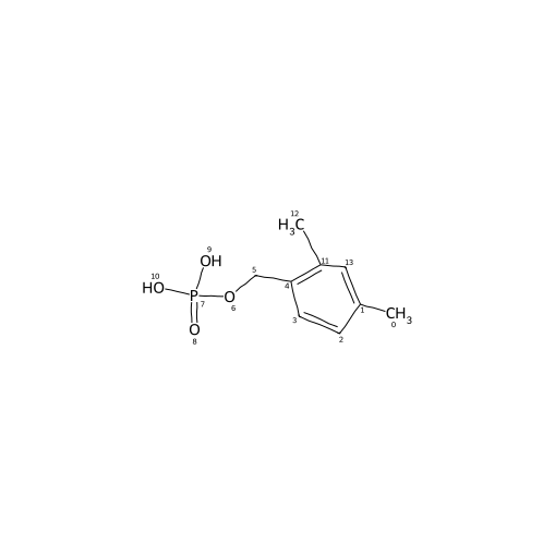 Cc1ccc(COP(=O)(O)O)c(C)c1